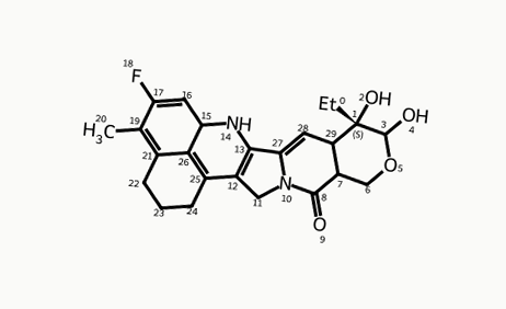 CC[C@@]1(O)C(O)OCC2C(=O)N3CC4=C(NC5C=C(F)C(C)=C6CCCC4=C65)C3=CC21